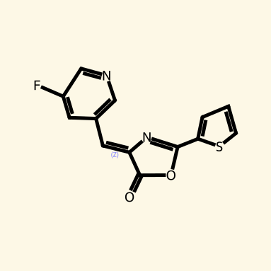 O=C1OC(c2cccs2)=N/C1=C\c1cncc(F)c1